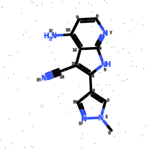 Cn1cc(-c2[nH]c3nccc(N)c3c2C#N)cn1